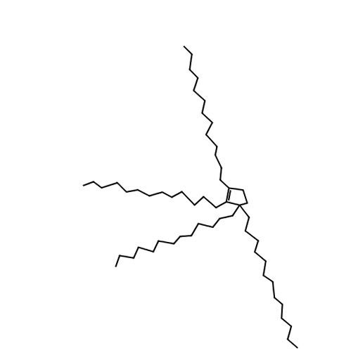 CCCCCCCCCCCCCC1=C(CCCCCCCCCCCCC)C(CCCCCCCCCCCCC)(CCCCCCCCCCCCC)CC1